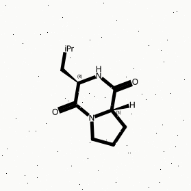 CC(C)C[C@H]1NC(=O)[C@@H]2CCCN2C1=O